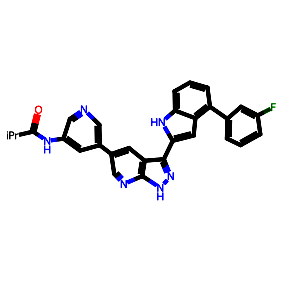 CC(C)C(=O)Nc1cncc(-c2cnc3[nH]nc(-c4cc5c(-c6cccc(F)c6)cccc5[nH]4)c3c2)c1